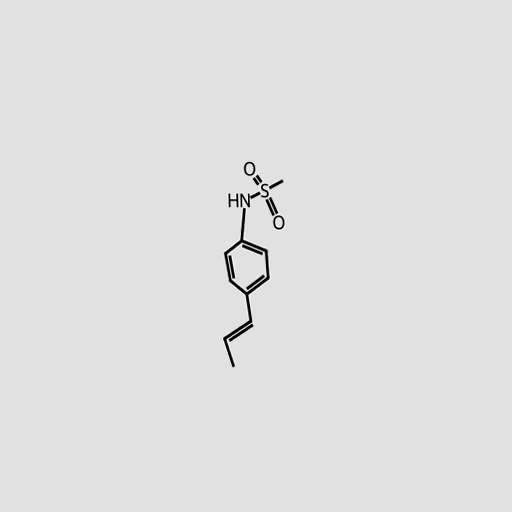 CC=Cc1ccc(NS(C)(=O)=O)cc1